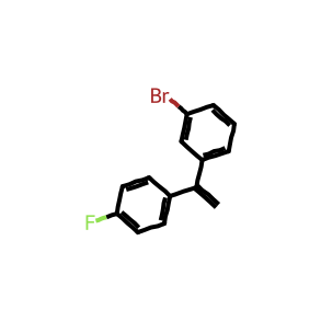 C=C(c1ccc(F)cc1)c1cccc(Br)c1